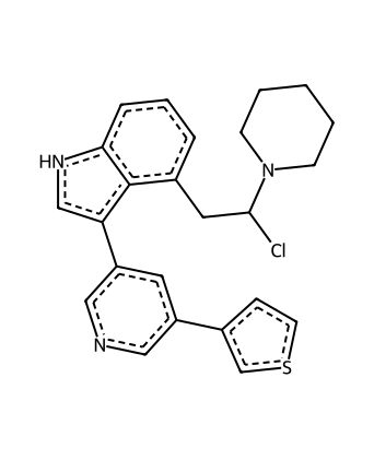 ClC(Cc1cccc2[nH]cc(-c3cncc(-c4ccsc4)c3)c12)N1CCCCC1